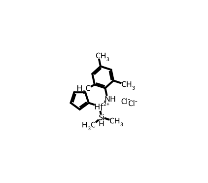 Cc1cc(C)c([NH][Hf+2]([C]2=CC=CC2)[SiH](C)C)c(C)c1.[Cl-].[Cl-]